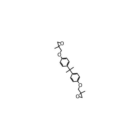 CC1(COc2ccc(C(C)(C)c3ccc(OCC4(C)CO4)cc3)cc2)CO1